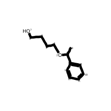 CC(OCCCCO)c1ccccc1